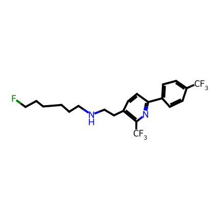 FCCCCCCNCCc1ccc(-c2ccc(C(F)(F)F)cc2)nc1C(F)(F)F